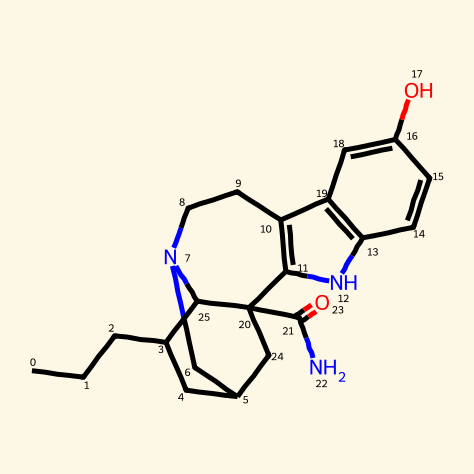 CCCC1CC2CN3CCc4c([nH]c5ccc(O)cc45)C(C(N)=O)(C2)C13